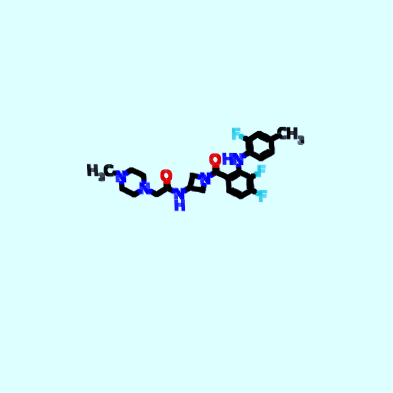 Cc1ccc(Nc2c(C(=O)N3CC(NC(=O)CN4CCN(C)CC4)C3)ccc(F)c2F)c(F)c1